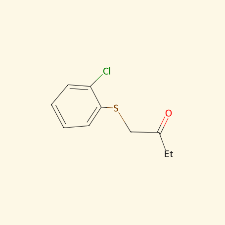 CCC(=O)CSc1ccccc1Cl